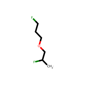 [CH2]C(F)COCCCF